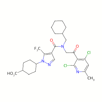 Cc1cc(Cl)c(C(=O)CN(CC2CCCCC2)C(=O)c2cnn(C3CCC(C(=O)O)CC3)c2C(F)(F)F)c(Cl)n1